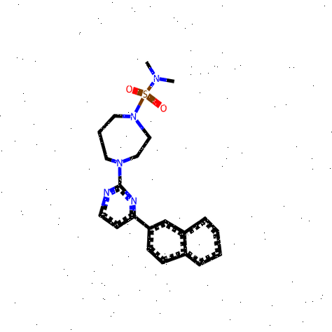 CN(C)S(=O)(=O)N1CCCN(c2nccc(-c3ccc4ccccc4c3)n2)CC1